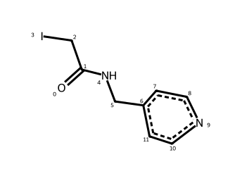 O=C(CI)NCc1ccncc1